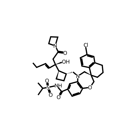 CC/C=C/[C@](O)(CC(=O)N1CCC1)[C@@H]1CC[C@H]1CN1C[C@@]2(CCCc3cc(Cl)ccc32)COc2ccc(C(=O)NS(=O)(=O)C(C)C)cc21